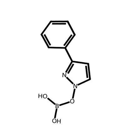 OB(O)On1ccc(-c2ccccc2)n1